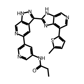 CCC(=O)Nc1cncc(-c2cc3c(-c4nc5c(-c6ccc(C)s6)cncc5[nH]4)n[nH]c3cn2)c1